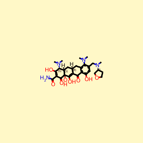 CN(C)c1c(CN(C)[C@@H]2CCOC2)cc(O)c2c1C[C@H]1C[C@H]3[C@H](N(C)C)C(O)=C(C(N)=O)C(=O)[C@@]3(O)C(O)=C1C2=O